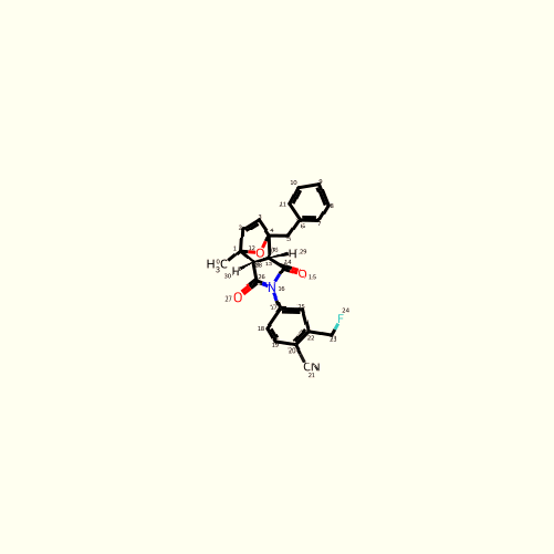 CC12C=CC(Cc3ccccc3)(O1)[C@@H]1C(=O)N(c3ccc(C#N)c(CF)c3)C(=O)[C@@H]12